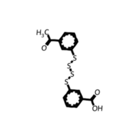 CC(=O)c1cccc(SSSSc2cccc(C(=O)O)c2)c1